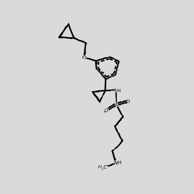 CNCCCCS(=O)(=O)NC1(c2cccc(OCC3CC3)c2)CC1